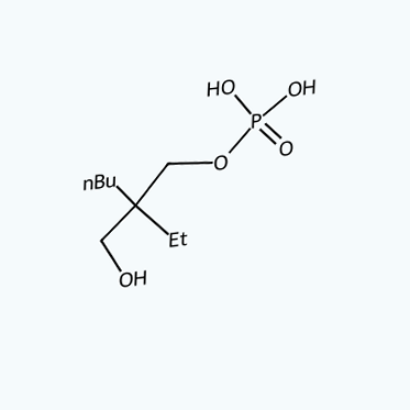 CCCCC(CC)(CO)COP(=O)(O)O